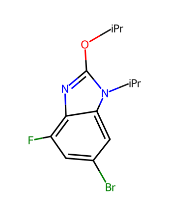 CC(C)Oc1nc2c(F)cc(Br)cc2n1C(C)C